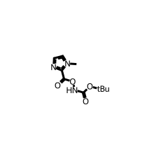 Cn1ccnc1C(=O)ONC(=O)OC(C)(C)C